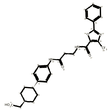 O=C(O)C[C@H]1CC[C@H](c2ccc(NC(=O)CCNC(=O)c3oc(-c4ccccc4)nc3C(F)(F)F)cc2)CC1